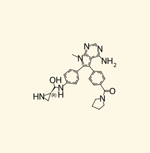 Cn1c(-c2ccc(NC(O)[C@H]3CN3)cc2)c(-c2ccc(C(=O)N3CCCC3)cc2)c2c(N)ncnc21